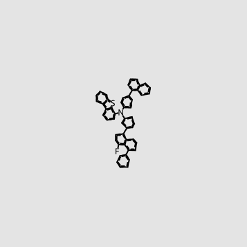 Fc1ccc(-c2cccc(N(c3ccc(-c4cccc5ccccc45)cc3)c3cccc4c3sc3ccccc34)c2)c2cccc(-c3ccccc3)c12